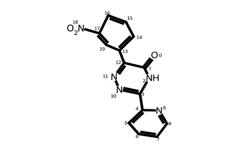 O=c1[nH]c(-c2ccccn2)nnc1-c1cccc([N+](=O)[O-])c1